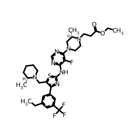 CCOC(=O)CCN1CCN(c2ncnc(Nc3nc(-c4cc(CC)cc(C(F)(F)F)c4)c(CN4CCCC[C@H]4C)s3)c2F)C[C@@H]1C